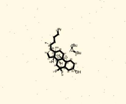 CC(C)(C)OC(C)(C)C.CC(C)CCC[C@@H](C)[C@H]1CC[C@H]2[C@@H]3CC(F)(F)C4C[C@@H](O)CC[C@]4(C)[C@H]3CC[C@]12C